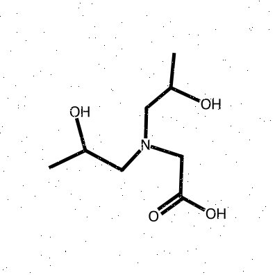 CC(O)CN(CC(=O)O)CC(C)O